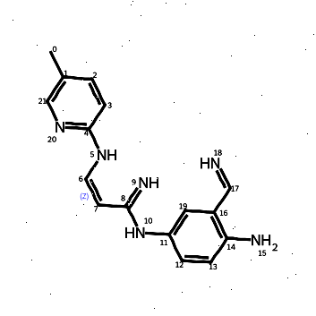 Cc1ccc(N/C=C\C(=N)Nc2ccc(N)c(C=N)c2)nc1